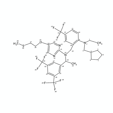 CCN(CC1CCCC1)c1ccc(C(F)(F)F)cc1CN(c1ncc(OCCSC)cn1)C(C)c1cc(C(F)(F)F)cc(C(F)(F)F)c1